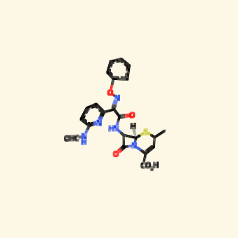 CC1C=C(C(=O)O)N2C(=O)C(NC(=O)/C(=N/Oc3ccccc3)c3cccc(NC=O)n3)[C@H]2S1